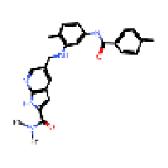 CCN(CC)C(=O)c1cc2cc(CNc3cc(NC(=O)c4ccc(C)cc4)ccc3C)cnc2[nH]1